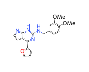 COc1ccc(CNc2nc(-c3ccco3)c3ccnc-3[nH]2)cc1OC